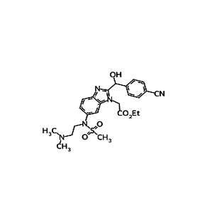 CCOC(=O)Cn1c(C(O)c2ccc(C#N)cc2)nc2ccc(N(CCN(C)C)S(C)(=O)=O)cc21